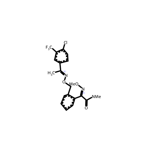 CNC(=O)/C(=N/OC)c1ccccc1CO/N=C(\C)c1ccc(Cl)c(C(F)(F)F)c1